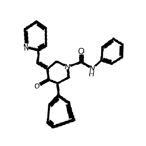 O=C1C(=Cc2ccccn2)CN(C(=O)Nc2ccccc2)CC1c1ccccc1